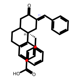 O=C1CC2CCc3cc(C(=O)O)ccc3[C@]2(Cc2ccccc2)C/C1=C\c1ccccc1